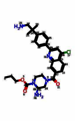 CCCOC(=O)N1CCN(C(=O)c2ccc3c(Cl)cc(-c4ccc(C(C)(C)CN)cc4)nc3c2)C[C@H]1N